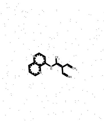 C=C/C(C=N)=C(/Nc1ccnc2cccnc12)C(F)(F)F